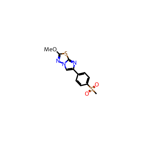 COc1nn2cc(-c3ccc(S(C)(=O)=O)cc3)nc2s1